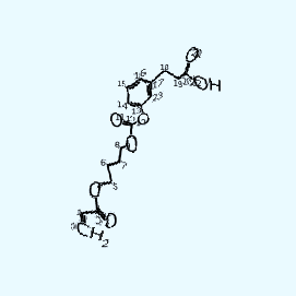 C=CC(=O)OCCCCOC(=O)Oc1cccc(CCC(=O)O)c1